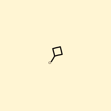 ClC1CCC1